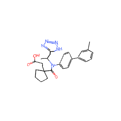 Cc1cccc(-c2ccc(N(C(=O)C3(CC(=O)O)CCCC3)C(C)c3nnn[nH]3)cc2)c1